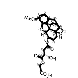 COc1ccc2c3c1O[C@H]1C(OC(=O)C[C@H](O)C(=O)OCC(=O)O)=CC[C@@]4(O)[C@H](CCC[C@]314)C2